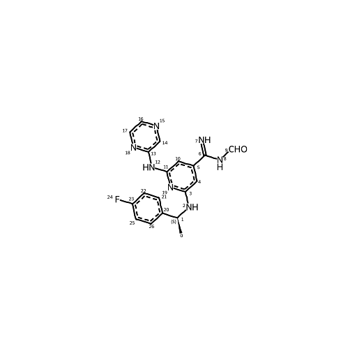 C[C@H](Nc1cc(C(=N)NC=O)cc(Nc2cnccn2)n1)c1ccc(F)cc1